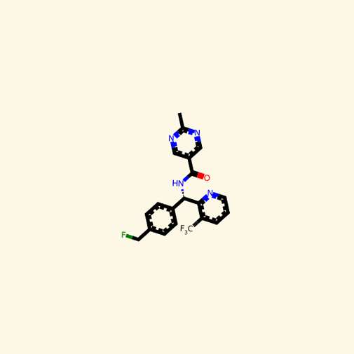 Cc1ncc(C(=O)N[C@@H](c2ccc(CF)cc2)c2ncccc2C(F)(F)F)cn1